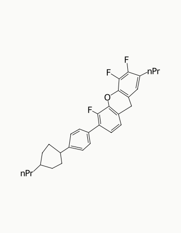 CCCc1cc2c(c(F)c1F)Oc1c(ccc(-c3ccc(C4CCC(CCC)CC4)cc3)c1F)C2